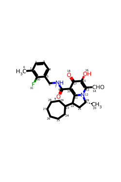 Cc1cccc(CNC(=O)c2c3n(c(C=O)c(O)c2=O)[C@H](C)CC3C2CCCCCC2)c1F